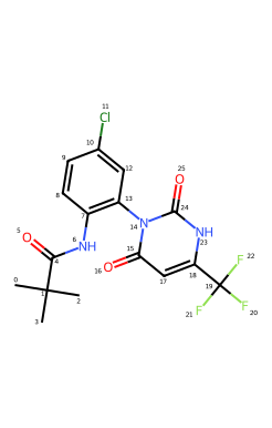 CC(C)(C)C(=O)Nc1ccc(Cl)cc1-n1c(=O)cc(C(F)(F)F)[nH]c1=O